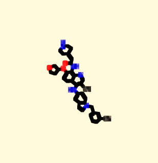 N#Cc1cccc(Cn2ccc3cc(Nc4c(C#N)cnc5c(NC(=O)C=C6CCNCC6)c(OC6CCOC6)ccc45)ccc32)c1